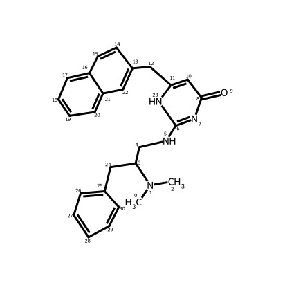 CN(C)C(CNc1nc(=O)cc(Cc2ccc3ccccc3c2)[nH]1)Cc1ccccc1